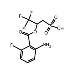 Nc1cccc(F)c1C(=O)OC(CS(=O)(=O)O)C(F)(F)F